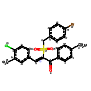 O=C(O)c1ccc(C(=O)/C(=C/c2ccc(Cl)c([N+](=O)[O-])c2)S(=O)(=O)Cc2ccc(Br)cc2)cc1